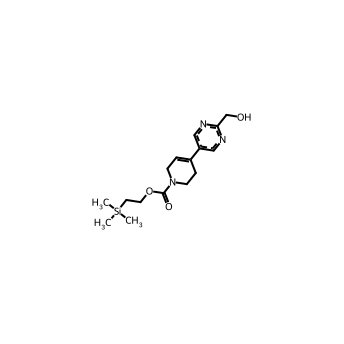 C[Si](C)(C)CCOC(=O)N1CC=C(c2cnc(CO)nc2)CC1